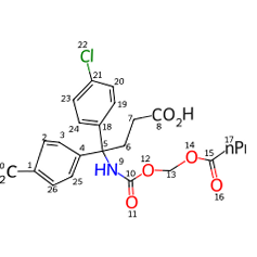 [CH2]c1ccc(C(CCC(=O)O)(NC(=O)OCOC(=O)CCC)c2ccc(Cl)cc2)cc1